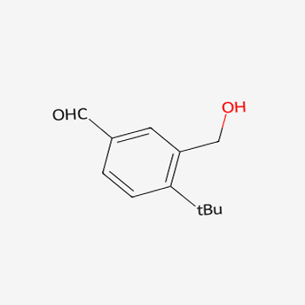 CC(C)(C)c1ccc(C=O)cc1CO